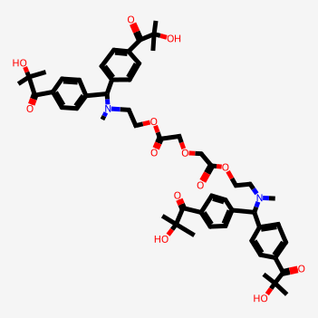 CN(CCOC(=O)COCC(=O)OCCN(C)C(c1ccc(C(=O)C(C)(C)O)cc1)c1ccc(C(=O)C(C)(C)O)cc1)C(c1ccc(C(=O)C(C)(C)O)cc1)c1ccc(C(=O)C(C)(C)O)cc1